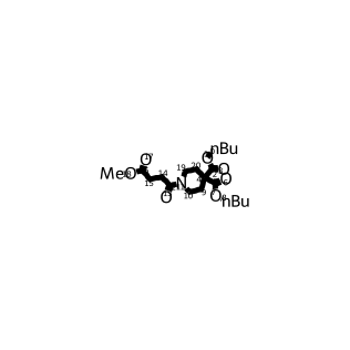 CCCCOC(=O)C1(C(=O)OCCCC)CCN(C(=O)CCC(=O)OC)CC1